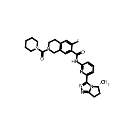 C[C@@H]1CCc2nnc(-c3cccc(NC(=O)c4cc5c(cc4F)CCN(C(=O)N4CCCCC4)C5)n3)n21